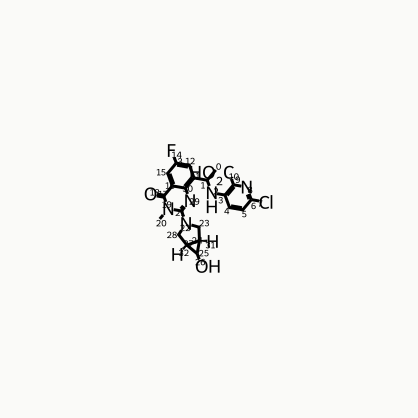 CC(Nc1ccc(Cl)nc1C(=O)O)c1cc(F)cc2c(=O)n(C)c(N3C[C@@H]4C(O)[C@@H]4C3)nc12